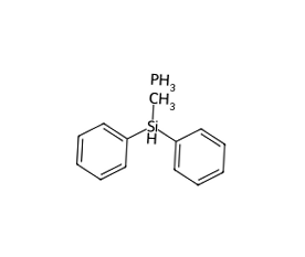 C[SiH](c1ccccc1)c1ccccc1.P